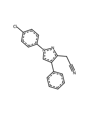 N#CCc1nn(-c2ccc(Cl)cc2)cc1-c1ccccc1